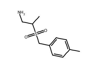 Cc1ccc(CS(=O)(=O)C(C)CN)cc1